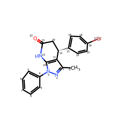 Cc1nn(-c2ccccc2)c2c1[C@@H](c1ccc(Br)cc1)CC(=O)N2